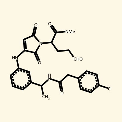 CNC(=O)C(CCC=O)N1C(=O)C=C(Nc2cccc(C(C)NC(=O)Cc3ccc(Cl)cc3)c2)C1=O